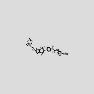 CN1CCN(CCOc2ccc3c(n2)sn(C)c(-c2ccc(NC(=O)Nc4cc(C(C)(C)C)on4)cc2)cn3C)C2(CC2)C1